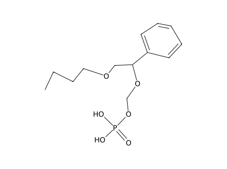 CCCCOCC(OCOP(=O)(O)O)c1ccccc1